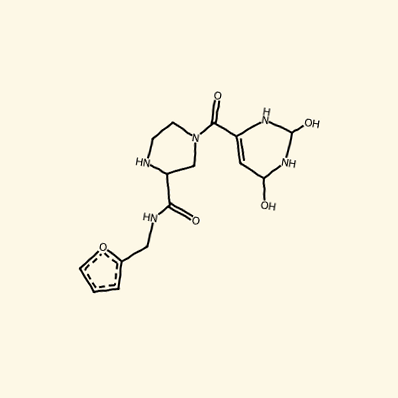 O=C(NCc1ccco1)C1CN(C(=O)C2=CC(O)NC(O)N2)CCN1